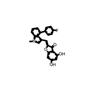 Cn1cc(C=C2Oc3cc(O)cc(O)c3C2=O)c2c(-c3ccc(F)cc3)cccc21